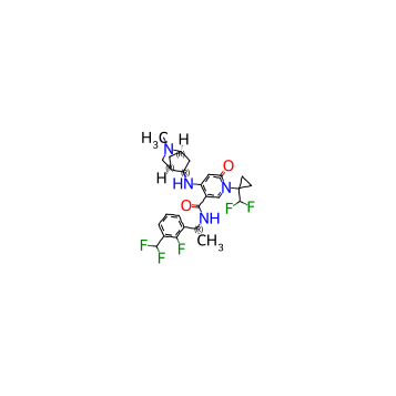 C[C@@H](NC(=O)c1cn(C2(C(F)F)CC2)c(=O)cc1N[C@@H]1C[C@H]2C[C@@H]1CN2C)c1cccc(C(F)F)c1F